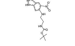 CC(C)(C)OC(=O)NCCNc1cc2[nH]ncc2cc1[N+](=O)[O-]